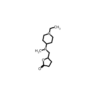 CCN1CCC(N(C)CC2CCC(=O)O2)CC1